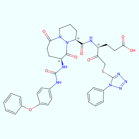 O=C(O)CC[C@H](NC(=O)[C@@H]1CCCN2C(=O)CC[C@H](NC(=O)Nc3ccc(Oc4ccccc4)cc3)C(=O)N12)C(=O)CSc1nnnn1-c1ccccc1